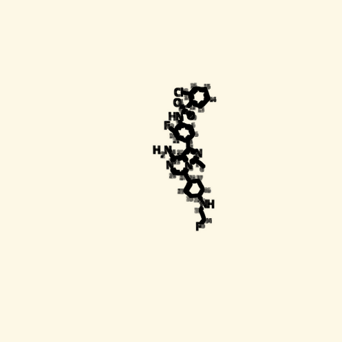 Cc1nc(-c2ccc(NS(=O)(=O)c3ccccc3Cl)c(F)c2)c2c(N)ncc(C3=CCC(NCCF)CC3)n12